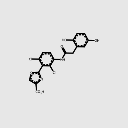 O=C(Cc1cc(O)ccc1O)Nc1ccc(Cl)c(-c2nc(C(=O)O)cs2)c1Cl